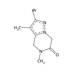 Cc1c(C(C)C)nn2c1CN(C)C(=O)C2